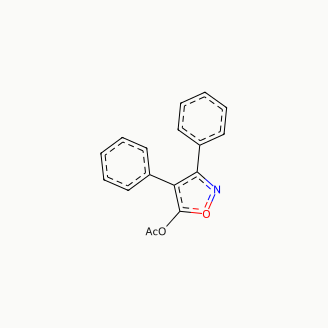 CC(=O)Oc1onc(-c2ccccc2)c1-c1ccccc1